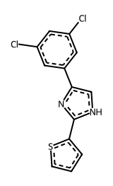 Clc1cc(Cl)cc(-c2c[nH]c(-c3cccs3)n2)c1